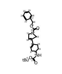 CC(C)(C)OC(=O)NC1CC=C(C2=CCN(C(=O)OCc3ccccc3)C2)CC1